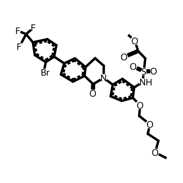 COCCOCOc1ccc(N2CCc3cc(-c4ccc(C(F)(F)F)cc4Br)ccc3C2=O)cc1NS(=O)(=O)CC(=O)OC